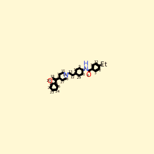 CCc1ccc(C(=O)NC2CCC(CCN3CCC(c4coc5ccccc45)CC3)CC2)cc1